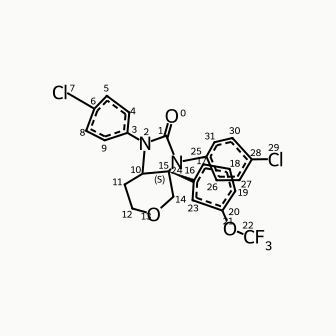 O=C1N(c2ccc(Cl)cc2)C2CCOC[C@@]2(c2cccc(OC(F)(F)F)c2)N1c1ccc(Cl)cc1